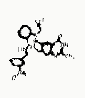 C#CCN(c1ccccc1C(=O)NCc1cccc([N+](=O)[O-])c1)[C@H]1CCc2cc3nc(C)[nH]c(=O)c3cc21